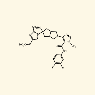 CCOC(=O)Oc1cc(C2(O)CC3CC(c4ncn(C)c4C(=O)Nc4ccc(F)c(Cl)c4)CC3C2)n(C)n1